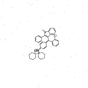 Cn1c(-c2ccccc2)c(C(=C2C=CC(=[N+](C)C3(C4(N)CCCCC4)CCCCC3)C=C2)c2ccccc2Cl)c2ccccc21